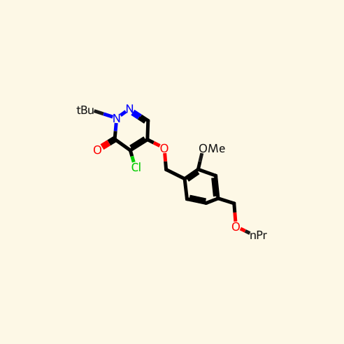 CCCOCc1ccc(COc2cnn(C(C)(C)C)c(=O)c2Cl)c(OC)c1